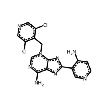 Nc1ccncc1-c1nc2c(N)ncn(Cc3c(Cl)cncc3Cl)c-2n1